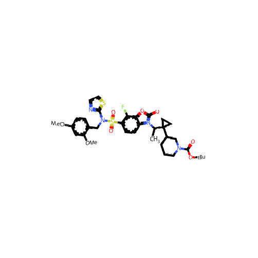 COc1ccc(CN(c2nccs2)S(=O)(=O)c2ccc3c(oc(=O)n3C(C)C3(C4CCCN(C(=O)OC(C)(C)C)C4)CC3)c2F)c(OC)c1